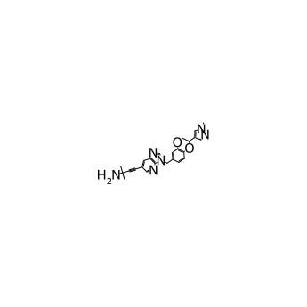 Cn1cc(C2COc3cc(Cn4cnc5cc(C#CC(C)(C)N)cnc54)ccc3O2)cn1